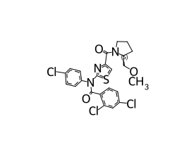 COC[C@@H]1CCCN1C(=O)c1csc(N(C(=O)c2ccc(Cl)cc2Cl)c2ccc(Cl)cc2)n1